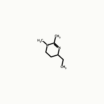 CCC1CCN(C)C(C)=N1